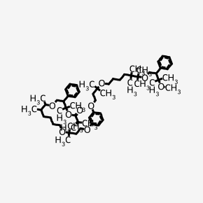 C=C(C)C(=O)OC(C)(C)C(COC(C)C(C)CCCCOC(C)(C)CCOc1cccc(OCCC(C)(C)OCCCCC(C)(C)C(C)(C)OCC(c2ccccc2)C(C)(C)OC)c1)c1ccccc1